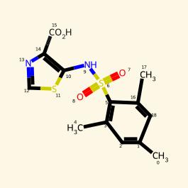 Cc1cc(C)c(S(=O)(=O)Nc2scnc2C(=O)O)c(C)c1